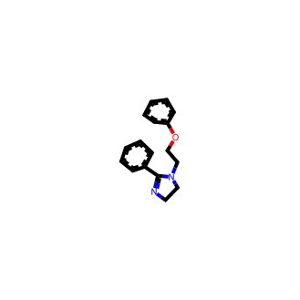 c1ccc(OCCN2CCN=C2c2ccccc2)cc1